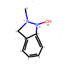 CN1[CH]c2ccccc2N1O